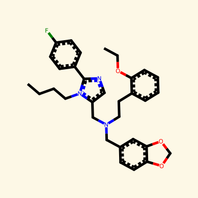 CCCCn1c(CN(CCc2ccccc2OCC)Cc2ccc3c(c2)OCO3)cnc1-c1ccc(F)cc1